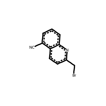 N#Cc1cccc2nc(CBr)ccc12